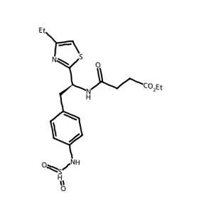 CCOC(=O)CCC(=O)N[C@@H](Cc1ccc(N[SH](=O)=O)cc1)c1nc(CC)cs1